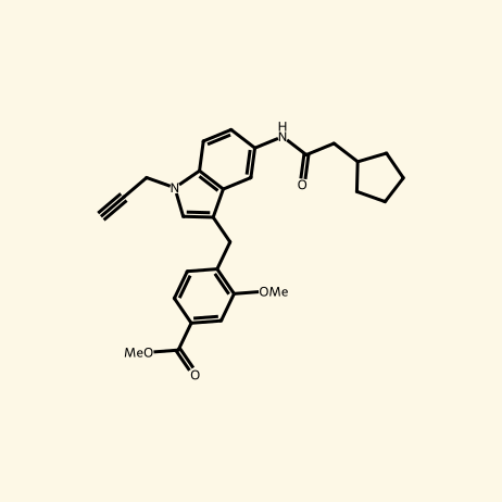 C#CCn1cc(Cc2ccc(C(=O)OC)cc2OC)c2cc(NC(=O)CC3CCCC3)ccc21